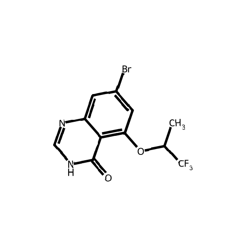 CC(Oc1cc(Br)cc2nc[nH]c(=O)c12)C(F)(F)F